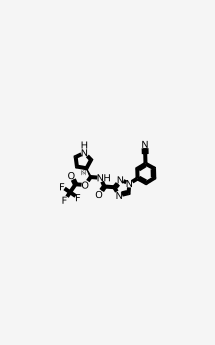 N#Cc1cccc(-n2cnc(C(=O)NC(OC(=O)C(F)(F)F)[C@H]3CCNC3)n2)c1